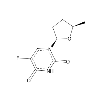 C[C@@H]1CC[C@H](n2cc(F)c(=O)[nH]c2=O)O1